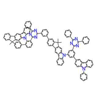 CC1(C)c2cc(-c3cccc(-c4nc(-c5ccccc5)nc(-c5cccc(-c6ccccc6)c5-n5c6ccccc6c6cc7c(cc65)C(C)(C)c5ccccc5-7)n4)c3)ccc2-c2cc3c4ccccc4n(-c4cc(-c5ccc6c(c5)c5ccccc5n6-c5ccccc5)cc(-c5nc(-c6ccccc6)nc(-c6ccccc6)n5)c4)c3cc21